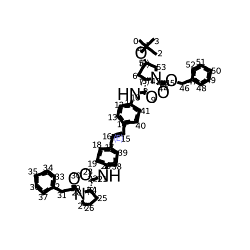 CC(C)(C)O[C@@H]1C[C@@H](C(=O)Nc2ccc(/C=C/c3ccc(NC(=O)[C@@H]4CCCN4C(=O)Cc4ccccc4)cc3)cc2)N(C(=O)OCc2ccccc2)C1